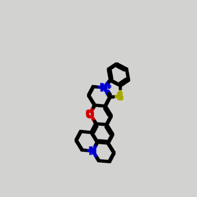 C1=C2c3sc4ccccc4[n+]3CCC2Oc2c1cc1c3c2CCCN3CCC1